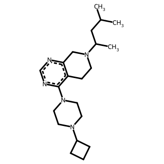 CC(C)CC(C)N1CCc2c(ncnc2N2CCN(C3CCC3)CC2)C1